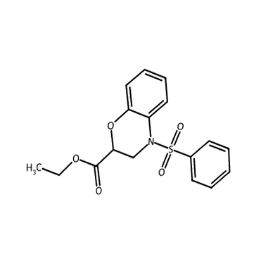 CCOC(=O)C1CN(S(=O)(=O)c2ccccc2)c2ccccc2O1